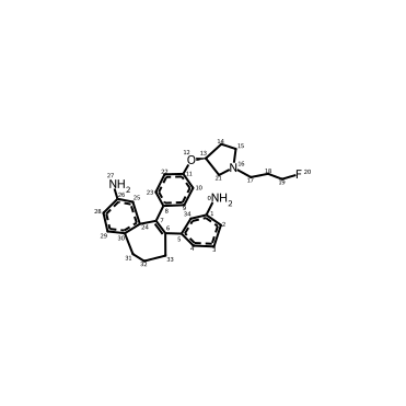 Nc1cccc(C2=C(c3ccc(O[C@H]4CCN(CCCF)C4)cc3)c3cc(N)ccc3CCC2)c1